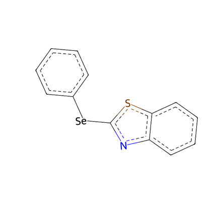 c1ccc([Se]c2nc3ccccc3s2)cc1